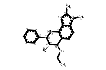 CCO[C@@H]1c2ccc3c(nc(C)n3C)c2N[C@H](c2ccccc2)[C@H]1O